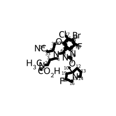 CN(CCCN1c2nc(OC[C@@]34CCCN3C[C@H](F)C4)nc3c(F)c(Br)c(Cl)c(c23)OCC1CC#N)C(=O)O